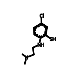 CN(C)CCNc1ccc(Cl)cc1S